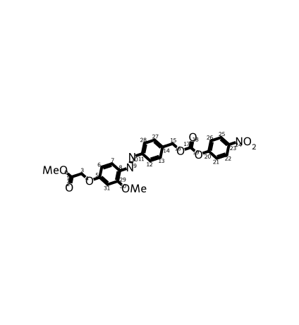 COC(=O)COc1ccc(/N=N/c2ccc(COC(=O)Oc3ccc([N+](=O)[O-])cc3)cc2)c(OC)c1